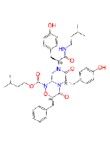 CC(C)CCNC(=O)[C@H](Cc1ccc(O)cc1)N1CC2N(C(=O)OCCC(C)C)O[C@H](Cc3ccccc3)C(=O)N2[C@@H](Cc2ccc(O)cc2)C1=O